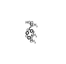 COc1ccc(Oc2ccc(OC(CCN(C)CC(=O)O)c3ccc(F)cc3)cc2)cc1OC